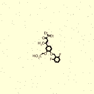 CCN(CC)C(=O)/C=C(\C)c1ccc(OCc2c(F)cccc2F)c(OCC(=O)O)c1